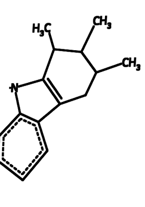 CC1CC2=C([N]c3ccccc32)C(C)C1C